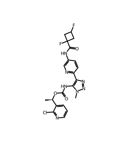 C[C@@H](OC(=O)Nc1c(-c2ccc(NC(=O)C3(F)CC(F)C3)cn2)nnn1C)c1cccnc1Cl